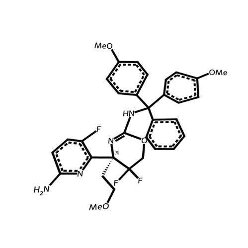 COCC[C@]1(c2nc(N)ccc2F)N=C(NC(c2ccccc2)(c2ccc(OC)cc2)c2ccc(OC)cc2)OCC1(F)F